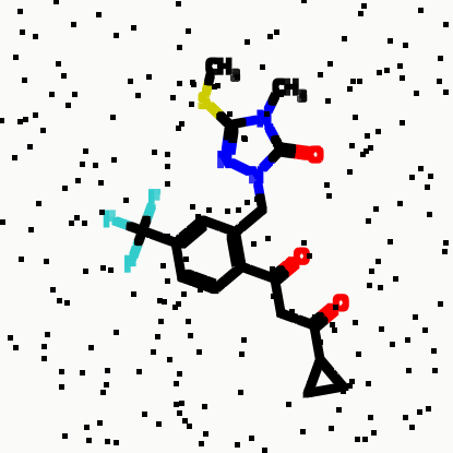 CSc1nn(Cc2cc(C(F)(F)F)ccc2C(=O)CC(=O)C2CC2)c(=O)n1C